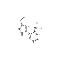 [CH2]Cc1c[nH]c(-c2ccccc2C(F)(F)F)c1